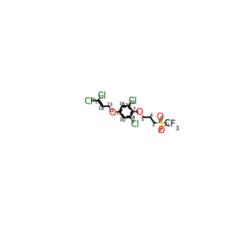 O=S(=O)(CCCOc1c(Cl)cc(OCC=C(Cl)Cl)cc1Cl)C(F)(F)F